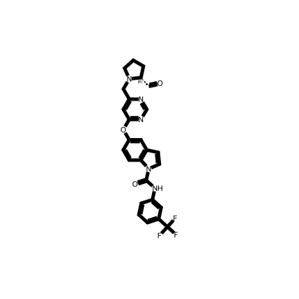 O=C[C@H]1CCCN1Cc1cc(Oc2ccc3c(ccn3C(=O)Nc3cccc(C(F)(F)F)c3)c2)ncn1